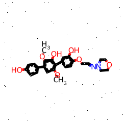 COc1cc(-c2ccc(O)cc2)c(OC)c(O)c1-c1ccc(OC/C=N/N2CCOCC2)c(O)c1